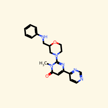 Cn1c(N2CCOC(CNc3ccccc3)C2)nc(-c2ccncn2)cc1=O